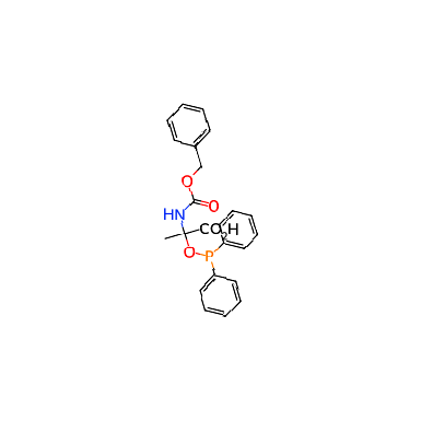 CC(NC(=O)OCc1ccccc1)(OP(c1ccccc1)c1ccccc1)C(=O)O